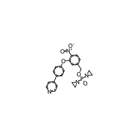 O=[N+]([O-])c1ccc(COP(=O)(N2CC2)N2CC2)cc1Oc1ccc(-c2ccncc2)cc1